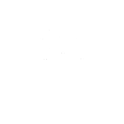 O=C(OC1C2CC3C(=O)OC1C3C2)C1CC=CCC1